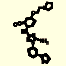 Nc1nc(NC2C=CC(OCCN3CCCC3)=CC2=C=O)nn1-c1cccc(-c2cccs2)c1